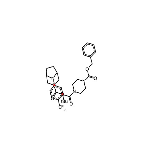 CC(C)(C)OC(=O)N1CC2CCC(C1)N2c1ccc(C(F)(F)F)c(C(=O)N2CCN(C(=O)OCc3ccccc3)CC2)c1